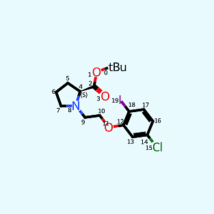 CC(C)(C)OC(=O)[C@@H]1CCCN1CCOc1cc(Cl)ccc1I